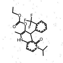 CCOC(=O)OC1=C(C)Nc2ccn(C(C)C)c(=O)c2C1c1ccccc1C(F)(F)F